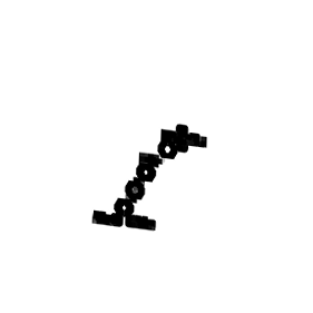 COc1ccc(N2CCN(c3ccc(NC[C@H]4CC[C@H](NS(=O)(=O)C(C)(C)C)CC4)cc3)CC2)cc1OC